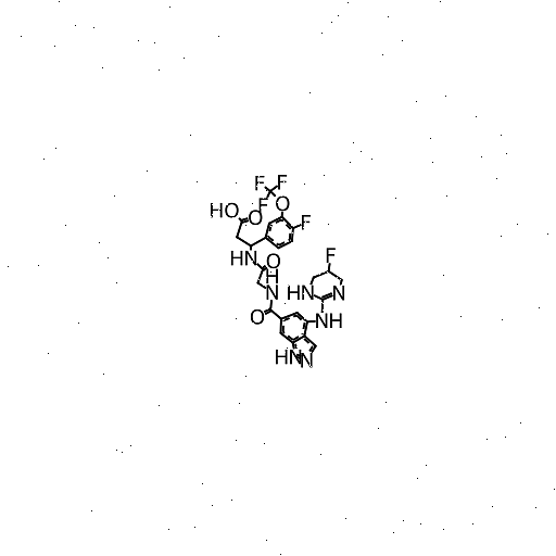 O=C(O)CC(NC(=O)CNC(=O)c1cc(NC2=NCC(F)CN2)c2cn[nH]c2c1)c1ccc(F)c(OC(F)(F)F)c1